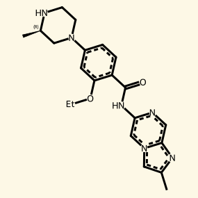 CCOc1cc(N2CCN[C@H](C)C2)ccc1C(=O)Nc1cn2cc(C)nc2cn1